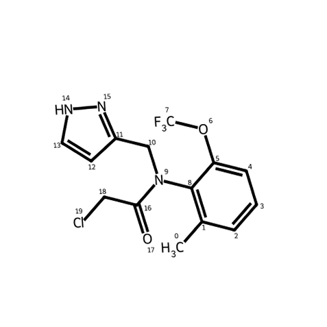 Cc1cccc(OC(F)(F)F)c1N(Cc1cc[nH]n1)C(=O)CCl